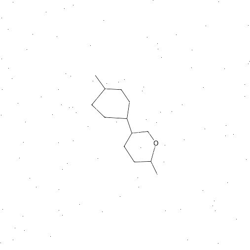 CC1CCC(C2CCC(C)OC2)CC1